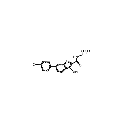 CCCc1c(C(=O)NCC(=O)OCC)oc2cc(-c3ccc(Cl)cc3)ccc12